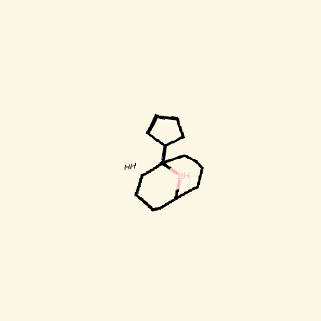 B1C2CCCC1(C1CCCC1)CCC2.[HH]